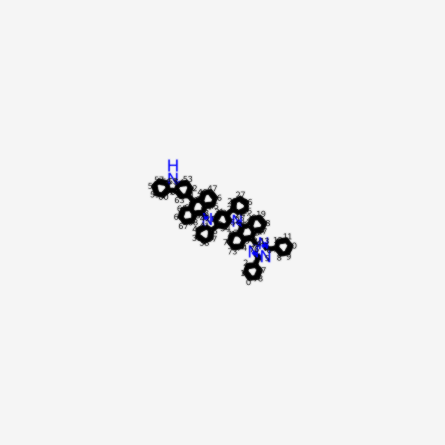 c1ccc(-c2nc(-c3ccccc3)nc(-c3c4ccccc4c(-n4c5ccccc5c5cc6c(cc54)c4ccccc4n6-c4c5ccccc5c(-c5ccc6[nH]c7ccccc7c6c5)c5ccccc45)c4ccccc34)n2)cc1